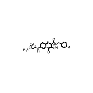 CN(C)CCNc1ccc2nc(C(=O)NCc3ccc(F)cc3)c(O)c(=O)n2c1